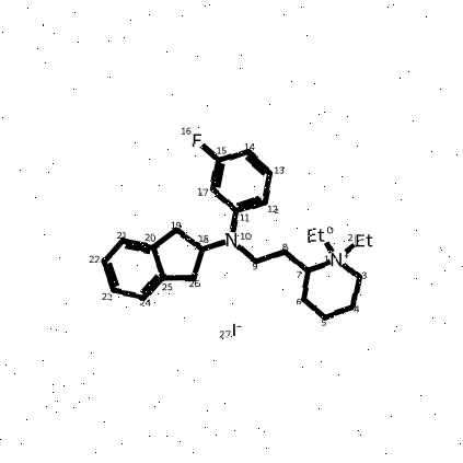 CC[N+]1(CC)CCCCC1CCN(c1cccc(F)c1)C1Cc2ccccc2C1.[I-]